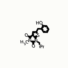 CC(C)Cn1c(=O)n(C)c(=O)c2cc(Cc3ccccc3O)sc21